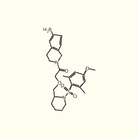 Bc1ccc2c(c1)CCN(C(=O)COCC1CCCCN1S(=O)(=O)c1c(C)cc(OC)cc1C)C2